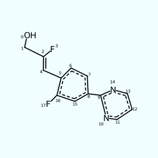 OCC(F)=Cc1ccc(-c2ncccn2)cc1F